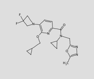 Cc1nnc(CN(C(=O)c2ccc(N3CC(F)(F)C3)c(OCC3CC3)n2)C2CC2)o1